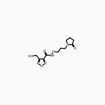 O=C(NOCCCN1CCCC1=O)c1nonc1CO